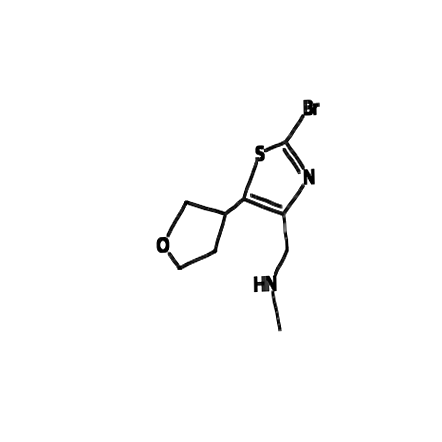 CNCc1nc(Br)sc1C1CCOC1